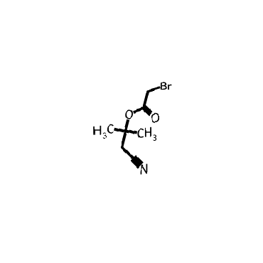 CC(C)(CC#N)OC(=O)CBr